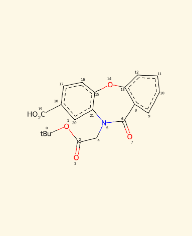 CC(C)(C)OC(=O)CN1C(=O)c2ccccc2Oc2ccc(C(=O)O)cc21